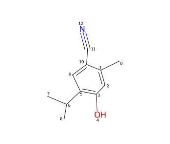 Cc1cc(O)c(C(C)C)cc1C#N